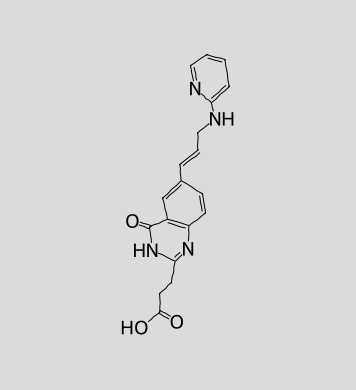 O=C(O)CCc1nc2ccc(C=CCNc3ccccn3)cc2c(=O)[nH]1